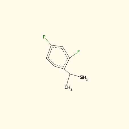 CC([SiH3])c1ccc(F)cc1F